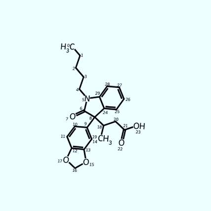 CCCCCN1C(=O)C(c2ccc3c(c2)OCO3)(C(C)CC(=O)O)c2ccccc21